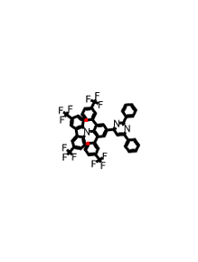 FC(F)(F)c1cccc(-c2cc(-c3cc(-c4ccccc4)nc(-c4ccccc4)n3)cc(-c3cccc(C(F)(F)F)c3)c2-n2c3ccc(C(F)(F)F)cc3c3cc(C(F)(F)F)ccc32)c1